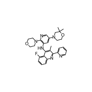 Cc1c(-c2ccccn2)nc2cccc(F)c2c1Nc1cc(N2CCOC(C)(C)C2)cnc1N1CCOCC1